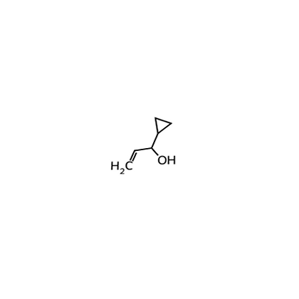 C=CC(O)C1CC1